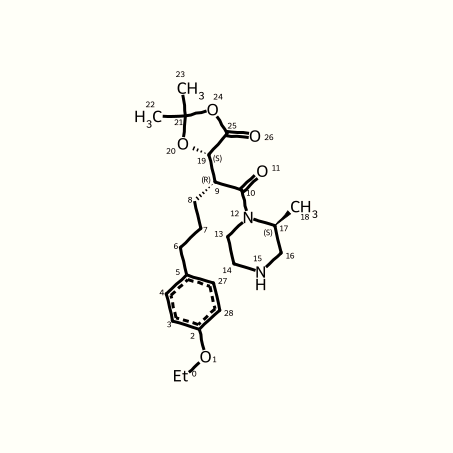 CCOc1ccc(CCC[C@@H](C(=O)N2CCNC[C@@H]2C)[C@@H]2OC(C)(C)OC2=O)cc1